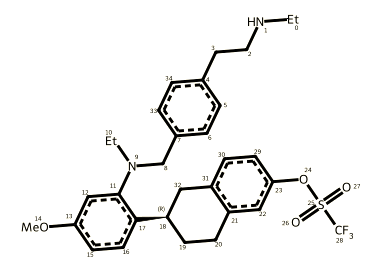 CCNCCc1ccc(CN(CC)c2cc(OC)ccc2[C@@H]2CCc3cc(OS(=O)(=O)C(F)(F)F)ccc3C2)cc1